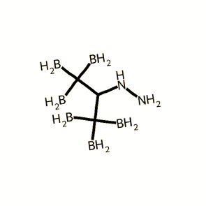 BC(B)(B)C(NN)C(B)(B)B